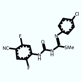 CS/C(=N\c1ccc(Cl)cc1)NC(=O)Nc1cc(F)c(C#N)cc1F